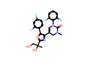 CN1CC(c2nc(C(C)(O)CO)oc2-c2ccc(F)cc2F)=CN(c2c(F)cccc2F)C1=O